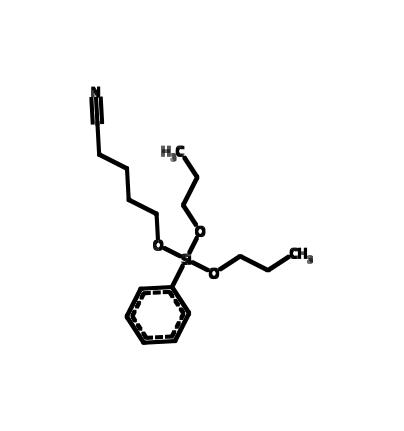 CCCO[Si](OCCC)(OCCCCC#N)c1ccccc1